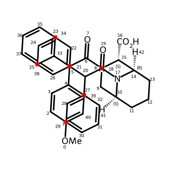 COc1ccc(C(C(=O)N2C[C@@H]3CCC[C@H]([C@H]2C(=O)O)N3C(=O)C(c2ccccc2)c2ccccc2)c2ccccc2)cc1